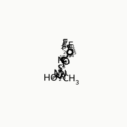 Cc1cc(O)nc(SCc2ncc(-c3cccc(C(F)(F)F)c3)o2)n1